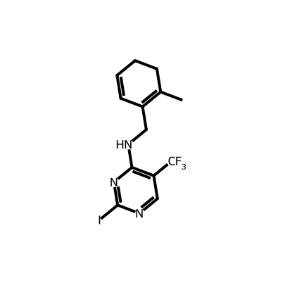 CC1=C(CNc2nc(I)ncc2C(F)(F)F)C=CCC1